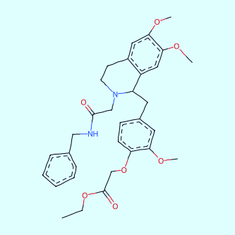 CCOC(=O)COc1ccc(CC2c3cc(OC)c(OC)cc3CCN2CC(=O)NCc2ccccc2)cc1OC